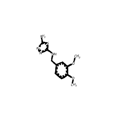 COc1ccc(CNc2nnc(N)s2)cc1OC